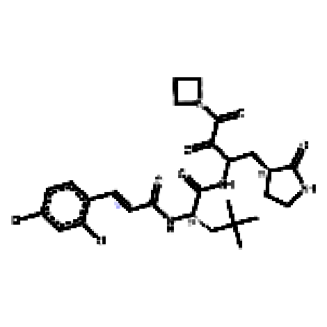 CC(C)(C)C[C@H](NC(=O)/C=C/c1ccc(Cl)cc1Cl)C(=O)NC(C[C@@H]1CCNC1=O)C(=O)C(=O)N1CCC1